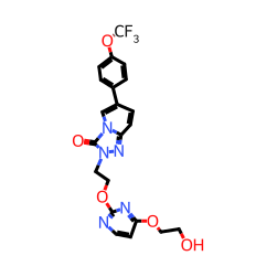 O=c1n(CCOc2nccc(OCCO)n2)nc2ccc(-c3ccc(OC(F)(F)F)cc3)cn12